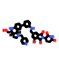 O=C1CCC(N2C(=O)c3cc(CNc4cccc(-c5ccc6c(c5)[C@H]5[C@H](CCN5Cc5ccncc5)[C@@H](CO)N6)c4)cc(Br)c3C2=O)C(=O)N1